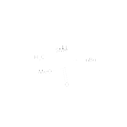 CCCCC(CC)C(=O)OC.CSC